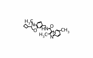 Cc1ccc2nc(C)c(C(=O)NCc3ccc4c(c3)OCC(C3CCC3)N4C)n2c1